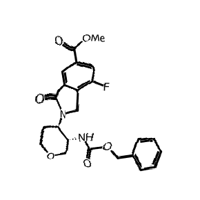 COC(=O)c1cc(F)c2c(c1)C(=O)N([C@@H]1CCOC[C@H]1NC(=O)OCc1ccccc1)C2